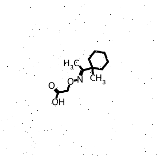 C/C(=N\OCC(=O)O)C1(C)CCCCC1